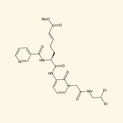 CCC(CC)CNC(=O)Cn1cccc(NC(=O)[C@H](CC/C=C/C(=O)OC)NC(=O)c2cccnc2)c1=O